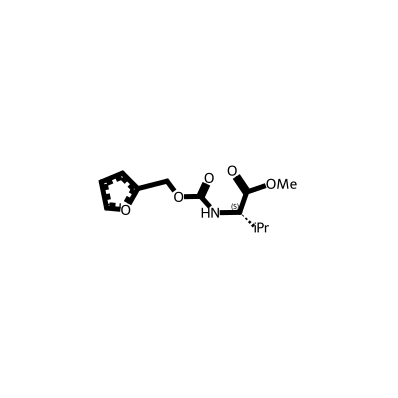 COC(=O)[C@@H](NC(=O)OCc1ccco1)C(C)C